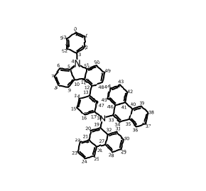 c1ccc(-n2c3ccccc3c3c(-c4cccc(N(c5cc6ccccc6c6ccccc56)c5cc6ccccc6c6ccccc56)c4)cccc32)cc1